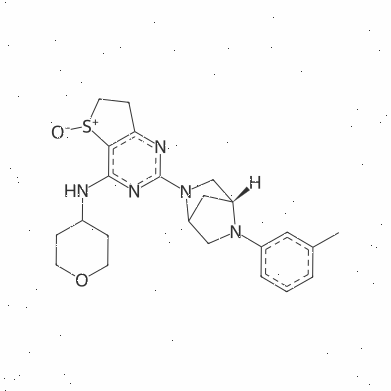 Cc1cccc(N2CC3C[C@@H]2CN3c2nc3c(c(NC4CCOCC4)n2)[S+]([O-])CC3)c1